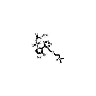 CC(C)(C)OC(=O)[N-]S(=O)(=O)n1ccc(Br)c1-c1nnnn1COCC[Si](C)(C)C.[Na+]